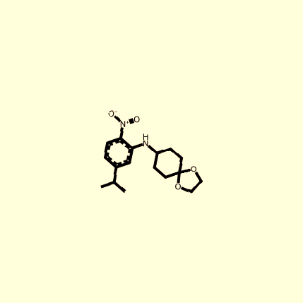 CC(C)c1ccc([N+](=O)[O-])c(NC2CCC3(CC2)OCCO3)c1